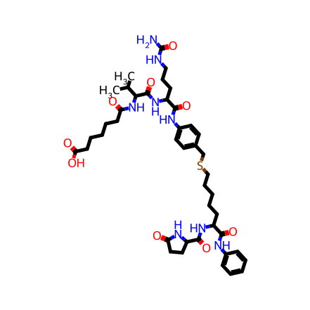 CC(C)C(NC(=O)CCCCCC(=O)O)C(=O)NC(CCCNC(N)=O)C(=O)Nc1ccc(CSCCCCCC(NC(=O)C2CCC(=O)N2)C(=O)Nc2ccccc2)cc1